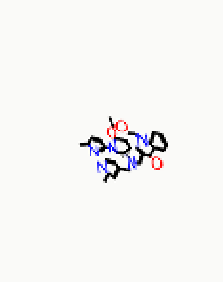 CC(=O)OCCn1cc(CN(Cc2ccnc(C)c2)[C@H]2CCCN(c3ccc(C)nc3)C2)c(=O)c2ccccc21